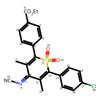 CCOC(=O)c1ccc(C2=C(C)/C(=N\C#N)C(C)=C(c3ccc(Cl)cc3)S2(=O)=O)cc1